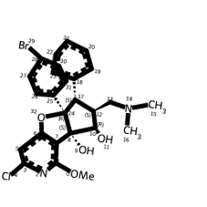 COc1nc(Cl)cc2c1[C@]1(O)[C@H](O)[C@H](CN(C)C)[C@@H](c3ccccc3)[C@]1(c1ccc(Br)cc1)O2